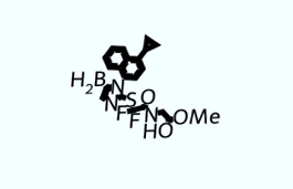 Bc1cnc(SC(F)(F)C(=O)NCC(=O)OC)n1-c1ccc(C2CC2)c2ccccc12